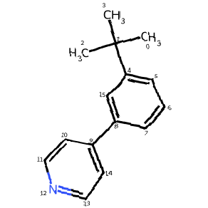 CC(C)(C)c1cccc(-c2ccncc2)c1